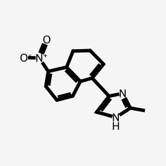 Cc1nc(C2=CCCc3c2cccc3[N+](=O)[O-])c[nH]1